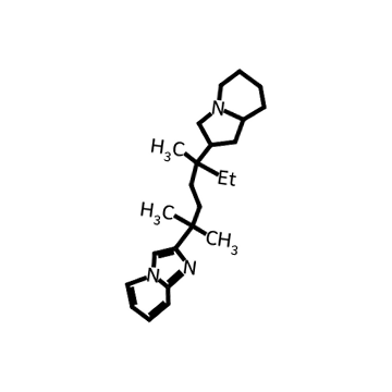 CCC(C)(CCC(C)(C)c1cn2ccccc2n1)C1CC2CCCCN2C1